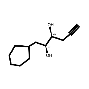 C#CC[C@H](O)[C@@H](O)CC1CCCCC1